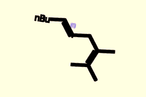 CCCC/C=[C]/CC(C)=C(C)C